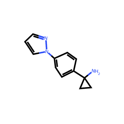 NC1(c2ccc(-n3cccn3)cc2)CC1